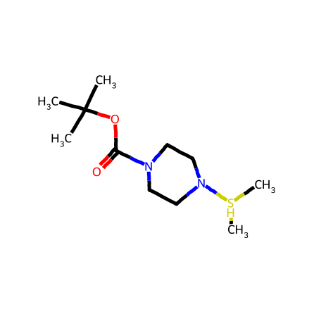 C[SH](C)N1CCN(C(=O)OC(C)(C)C)CC1